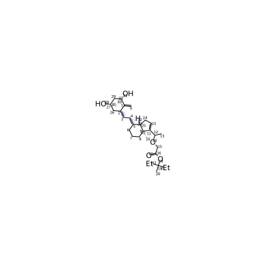 C=C1/C(=C\C=C2/CCC[C@]3(C)C(C(C)OCC(=O)OC(C)(CC)CC)=CC[C@@H]23)C[C@@H](O)C[C@@H]1O